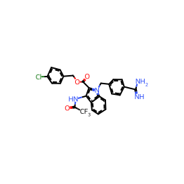 N=C(N)c1ccc(Cn2c(C(=O)OCc3ccc(Cl)cc3)c(NC(=O)C(F)(F)F)c3ccccc32)cc1